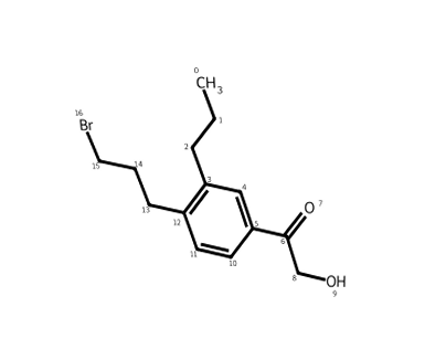 CCCc1cc(C(=O)CO)ccc1CCCBr